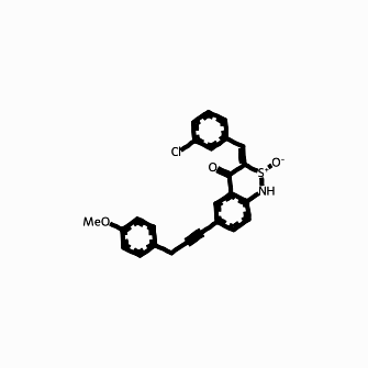 COc1ccc(CC#Cc2ccc3c(c2)C(=O)/C(=C\c2cccc(Cl)c2)[S+]([O-])N3)cc1